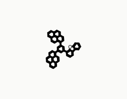 c1cc2ccc3ccc(-c4cc(-c5ccc6ccc7cccc8ccc5c6c78)cc(-c5cccc6c5oc5ccccc56)c4)c4ccc(c1)c2c34